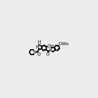 COc1ccc2c(c1)CN(C(=O)c1cc3c(C(=O)N4CCCCC4)n[nH]c3cc1O)C2